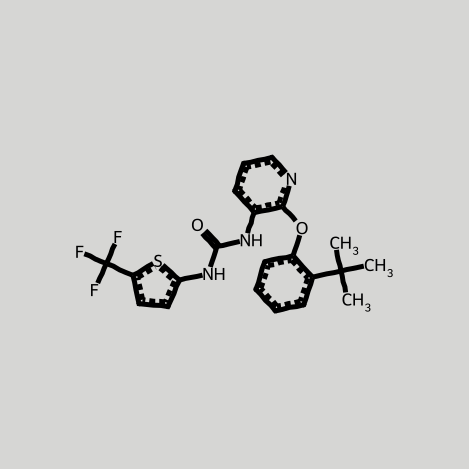 CC(C)(C)c1ccccc1Oc1ncccc1NC(=O)Nc1ccc(C(F)(F)F)s1